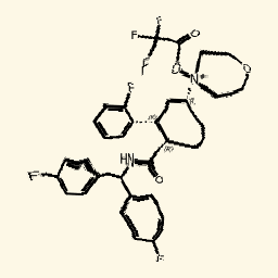 O=C(NC(c1ccc(F)cc1)c1ccc(F)cc1)[C@@H]1CC[C@@H]([N+]2(OC(=O)C(F)(F)F)CCOCC2)C[C@H]1c1ccccc1F